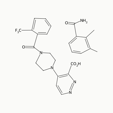 Cc1cccc(C(N)=O)c1C.O=C(O)c1nnccc1N1CCN(C(=O)c2ccccc2C(F)(F)F)CC1